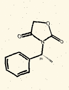 C[C@H](c1ccccc1)N1C(=O)COC1=O